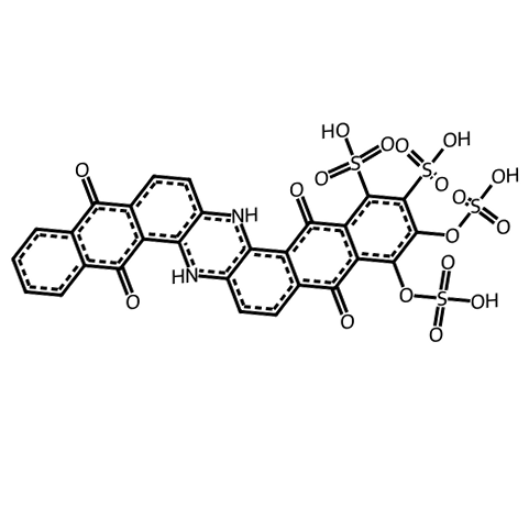 O=c1c2ccccc2c(=O)c2c1ccc1[nH]c3c(ccc4c(=O)c5c(OS(=O)(=O)O)c(OS(=O)(=O)O)c(S(=O)(=O)O)c(S(=O)(=O)O)c5c(=O)c43)[nH]c12